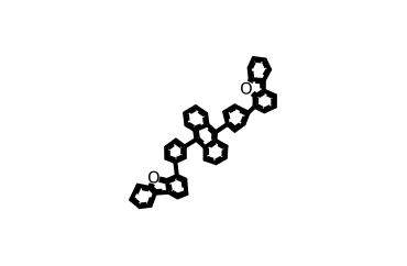 c1cc(-c2c3ccccc3c(-c3ccc(-c4cccc5c4oc4ccccc45)cc3)c3ccccc23)cc(-c2cccc3c2oc2ccccc23)c1